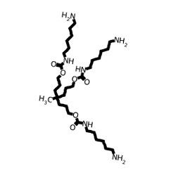 CC(CCCOC(=O)NCCCCCCN)(CCCOC(=O)NCCCCCCN)CCCOC(=O)NCCCCCCN